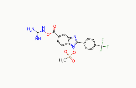 CS(=O)(=O)On1c(-c2ccc(C(F)(F)F)cc2)nc2cc(C(=O)ONC(=N)N)ccc21